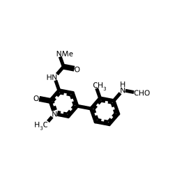 CNC(=O)Nc1cc(-c2cccc(NC=O)c2C)cn(C)c1=O